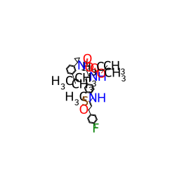 CS/C(=C\C(=O)c1ccc(F)cc1)Nc1ccc(C[C@H](NC(=O)OC(C)(C)C)[C@H]2CN(C3(c4cccc(C(C)(C)C)c4)CC3)C(=O)O2)cc1